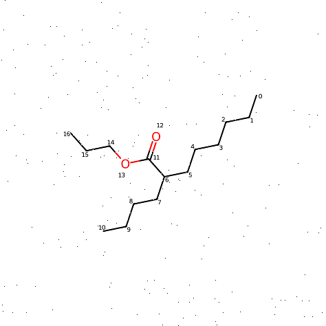 CCCCCCC(CCCC)C(=O)OCCC